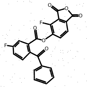 O=C(Oc1ccc2c(c1F)C(=O)OC2=O)c1cc(F)ccc1C(=O)c1ccccc1